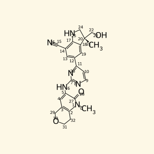 Cn1c2c(cc(Nc3nccc(-c4cc(C#N)c5c(c4)[C@@](C)(CO)CN5)n3)c1=O)COCC2